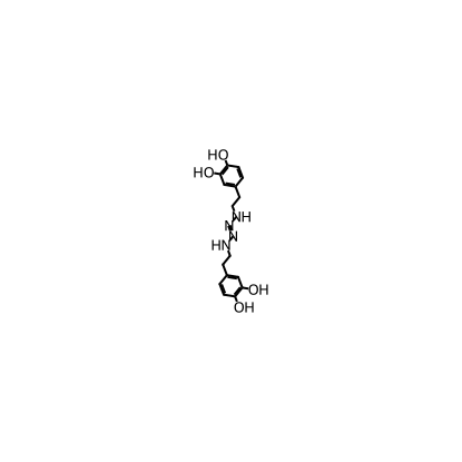 Oc1ccc(CCNN=NNCCc2ccc(O)c(O)c2)cc1O